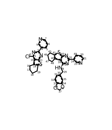 Clc1nc(-c2cccnc2)nc2sc3c(c12)CCCC3.c1cncc(-c2nc(NCc3ccc4c(c3)OCO4)c3c4c(sc3n2)CCCC4)c1